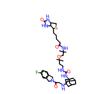 CC(C)(COC(C)(C)CCNC(=O)NC12CC3CC(CC(NCC(=O)N4Cc5ccc(F)cc5C4)(C3)C1)C2)NC(=O)CCCCC1SCC2NC(=O)NC21